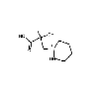 CC(O)(C[C@@H]1CCCCN1)C(=O)O